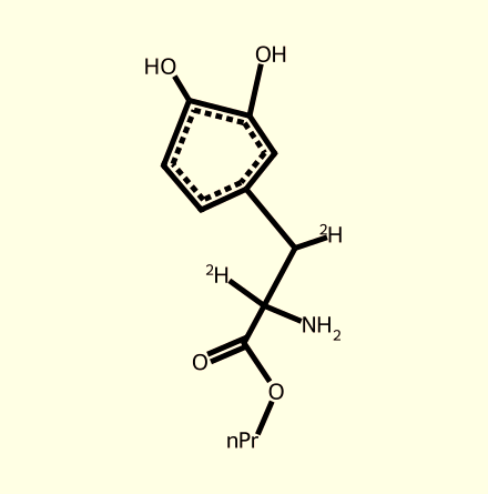 [2H]C(c1ccc(O)c(O)c1)C([2H])(N)C(=O)OCCC